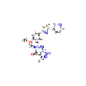 CCCOc1ccc(-c2csc(-c3cccnc3)n2)cc1-c1nc2[nH]nc(C)c2c(=O)n1CC